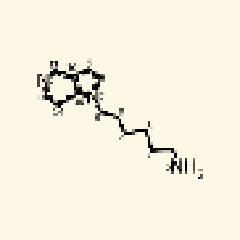 NCCCCCCn1ccc2cnccc21